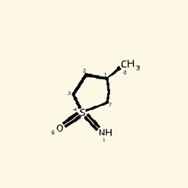 C[C@@H]1CCS(=N)(=O)C1